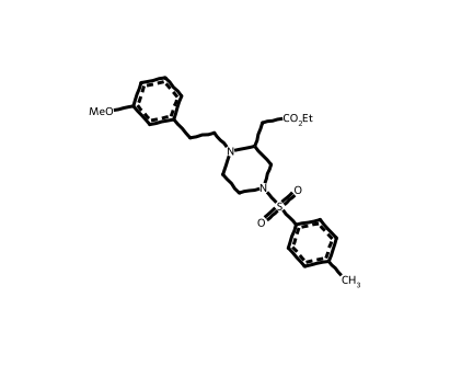 CCOC(=O)CC1CN(S(=O)(=O)c2ccc(C)cc2)CCN1CCc1cccc(OC)c1